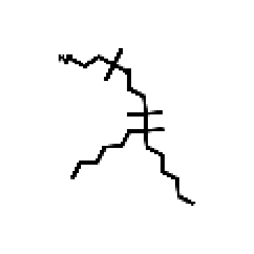 CCCCCCC(C)(CCCCCC)C(C)(C)CCOC(C)(C)CCN